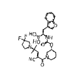 CC(C)(C=C(C#N)C(=O)N1CCC[C@H](OC(=O)NC(Cc2coc3ccccc23)B(O)O)C1)N1CCC(F)(F)C1